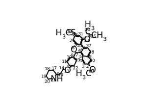 COc1ccc2c(C(=O)c3ccc(OCCC4CCCCN4)cc3)c(-c3ccc(SC)cc3OC(C)C)ccc2c1